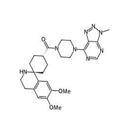 COc1cc2c(cc1OC)[C@]1(CC[C@@H](C(=O)N3CCN(c4ncnc5c4nnn5C)CC3)CC1)NCC2